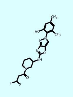 Cc1cc(C)c(-n2cc3sc(NC4CCCN(C(=O)CC(F)F)C4)nc3n2)c(O)c1